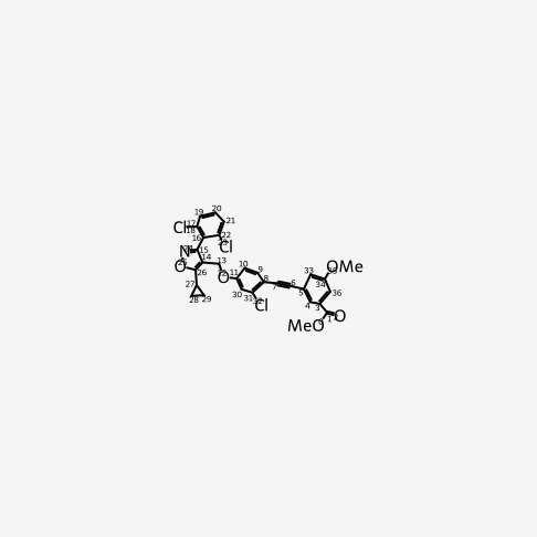 COC(=O)c1cc(C#Cc2ccc(OCc3c(-c4c(Cl)cccc4Cl)noc3C3CC3)cc2Cl)cc(OC)c1